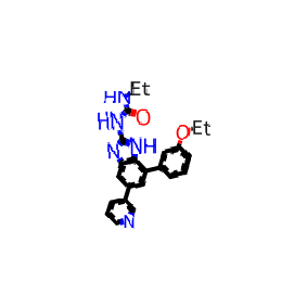 CCNC(=O)Nc1nc2cc(-c3cccnc3)cc(-c3cccc(OCC)c3)c2[nH]1